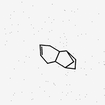 C1=CCC2C3CCC(C3)C2C1